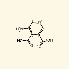 Nc1cncc(C(=O)O)c1C(=O)O